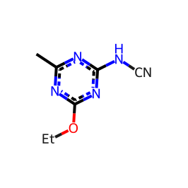 CCOc1nc(C)nc(NC#N)n1